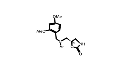 COc1ccc(CN(C[C@H]2CNC(=O)O2)C(C)=O)c(OC)c1